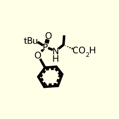 C[C@@H](NP(=O)(Oc1ccccc1)C(C)(C)C)C(=O)O